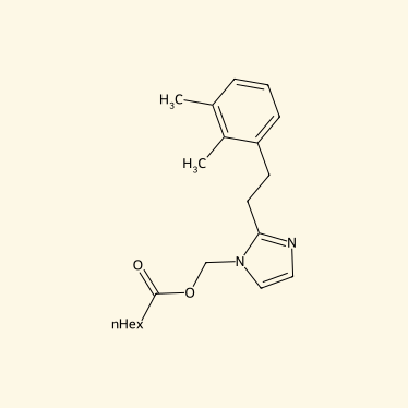 CCCCCCC(=O)OCn1ccnc1CCc1cccc(C)c1C